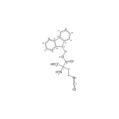 NC(CCN=C=O)(C(=O)O)C(=O)OCC1c2ccccc2-c2ccccc21